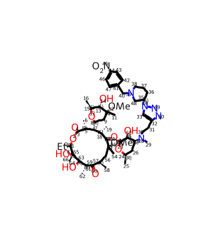 CC[C@H]1OC(=O)[C@H](C)C([C@H]2C[C@@](C)(OC)[C@@H](O)[C@H](C)O2)[C@H](C)[C@@H](O[C@@H]2O[C@H](C)C[C@H](N(C)CCc3cn([C@H]4CCCN(Cc5ccc([N+](=O)[O-])cc5)C4)nn3)[C@H]2O)[C@](C)(OC)C[C@@H](C)C(=O)[C@H](C)[C@@H](O)[C@]1(C)O